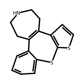 c1ccc2c(c1)Sc1sccc1C1=C2CCNCC1